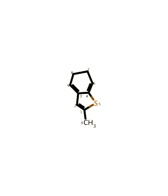 Cc1cc2c(s1)=CCCC=2